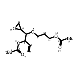 C=CC(OC(=O)C(C)(C)C)C(OCCCOC(=O)C(C)(C)C)C1CO1